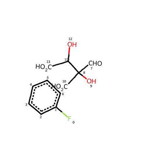 Fc1ccccc1.O=CC(O)(C(=O)O)C(O)C(=O)O